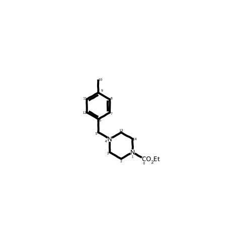 CCOC(=O)N1CCN(Cc2ccc(C)cc2)CC1